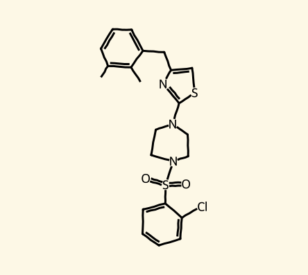 Cc1cccc(Cc2csc(N3CCN(S(=O)(=O)c4ccccc4Cl)CC3)n2)c1C